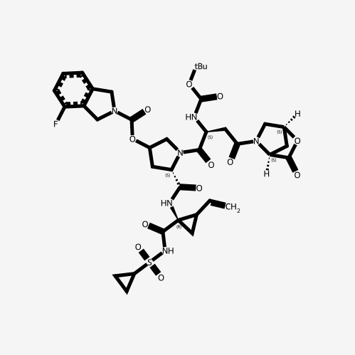 C=CC1C[C@]1(NC(=O)[C@@H]1CC(OC(=O)N2Cc3cccc(F)c3C2)CN1C(=O)[C@H](CC(=O)N1C[C@@H]2C[C@H]1C(=O)O2)NC(=O)OC(C)(C)C)C(=O)NS(=O)(=O)C1CC1